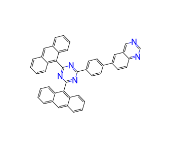 c1ccc2c(-c3nc(-c4ccc(-c5ccc6ncncc6c5)cc4)nc(-c4c5ccccc5cc5ccccc45)n3)c3ccccc3cc2c1